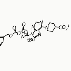 CC(C)(C)[C@](N)(CC(=O)OC(=O)OCc1ccccc1)n1cnc2c(N3CCC(C(=O)O)CC3)ncnc21